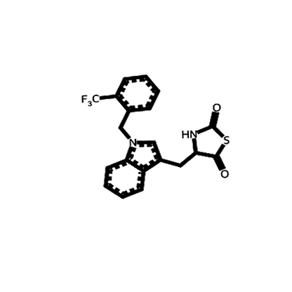 O=C1NC(Cc2cn(Cc3ccccc3C(F)(F)F)c3ccccc23)C(=O)S1